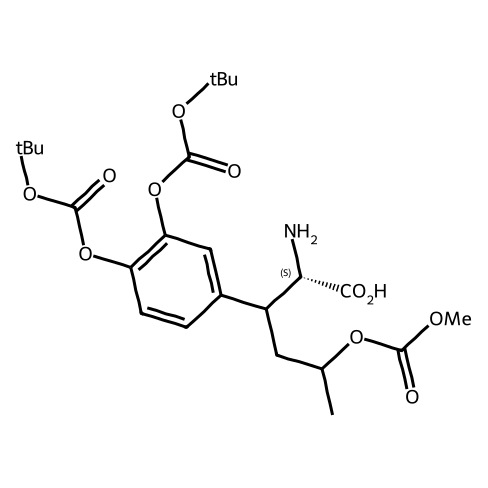 COC(=O)OC(C)CC(c1ccc(OC(=O)OC(C)(C)C)c(OC(=O)OC(C)(C)C)c1)[C@H](N)C(=O)O